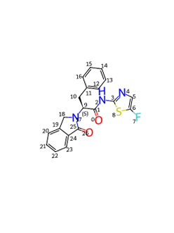 O=C(Nc1ncc(F)s1)[C@H](Cc1ccccc1)N1Cc2ccccc2C1=O